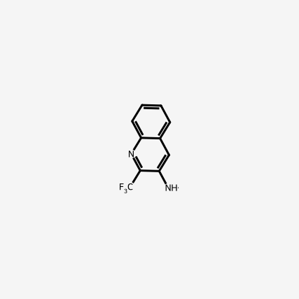 [NH]c1cc2ccccc2nc1C(F)(F)F